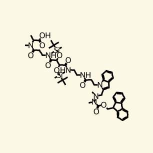 CC(C(=O)O)N(C)C(=O)CCNC(=O)C(O[Si](C)(C)C(C)(C)C)C(O[Si](C)(C)C(C)(C)C)C(=O)NCCNC(=O)CCn1c(CN(C)N(C)C(=O)OCC2c3ccccc3-c3ccccc32)cc2ccccc21